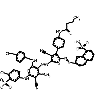 CCCC(=O)Nc1ccc(-c2c(N=Nc3ccc4cccc(S(=O)(=O)O)c4c3)sc(N=Nc3c(Nc4ccc(Cl)cc4)nc(Nc4ccc(Cl)c(S(=O)(=O)O)c4)c(C#N)c3C)c2C#N)cc1